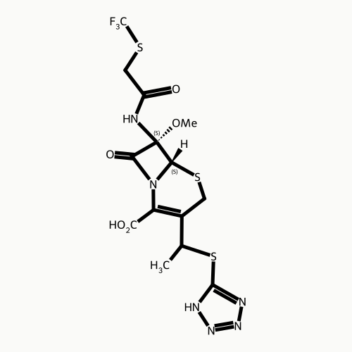 CO[C@@]1(NC(=O)CSC(F)(F)F)C(=O)N2C(C(=O)O)=C(C(C)Sc3nnn[nH]3)CS[C@H]21